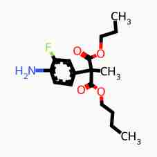 CCCCOC(=O)C(C)(C(=O)OCCC)c1ccc(N)c(F)c1